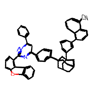 N#Cc1cccc2c(-c3cccc(C45CC6CC(CC(c7ccc(-c8cc(-c9ccccc9)nc(-c9cccc%10oc%11ccccc%11c9%10)n8)cc7)(C6)C4)C5)c3)cccc12